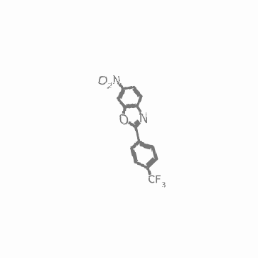 O=[N+]([O-])c1ccc2nc(-c3ccc(C(F)(F)F)cc3)oc2c1